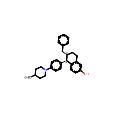 O=CC1CCN(c2ccc([C@@H]3c4ccc(O)cc4CC[C@@H]3Cc3ccccc3)cc2)CC1